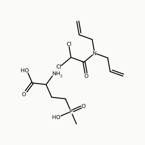 C=CCN(CC=C)C(=O)C(Cl)Cl.CP(=O)(O)CCC(N)C(=O)O